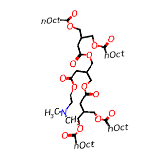 CCCCCCCCC(=O)OCC(COC(=O)CCCCCCCC)CC(=O)OCC(COC(=O)CC(COC(=O)CCCCCCCC)COC(=O)CCCCCCCC)CC(=O)OCCN(C)C